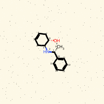 C[C@@H](N[C@H]1CC=CC[C@@H]1O)c1ccccc1